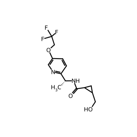 C[C@@H](NC(=O)C1CC1CO)c1ccc(OCC(F)(F)F)cn1